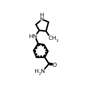 CC1CNCC1Nc1ccc(C(N)=O)cc1